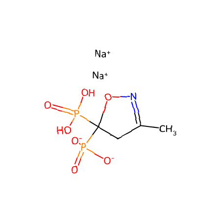 CC1=NOC(P(=O)([O-])[O-])(P(=O)(O)O)C1.[Na+].[Na+]